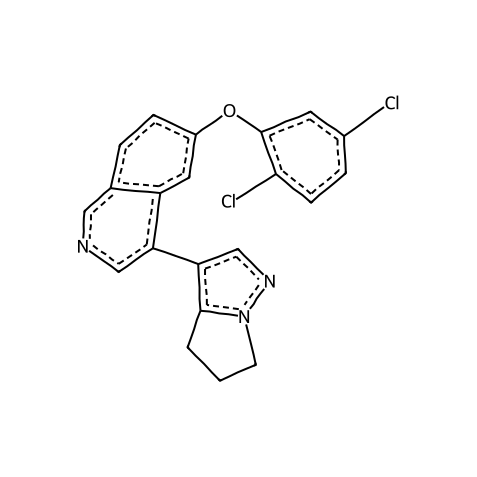 Clc1ccc(Cl)c(Oc2ccc3cncc(-c4cnn5c4CCC5)c3c2)c1